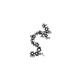 Cc1ncsc1-c1ccc([C@H](C)NC(=O)[C@@H]2C[C@@H](O)CN2C(=O)[C@@H](c2cc(OCCN3CC4CC(O[C@H]5C[C@H](Oc6cc(N7CC8CCN(c9cc(-c%10ccccc%10O)nnc9N)CC7C8)ccn6)C5)C[C@@H]4C3)no2)C(C)C)cc1